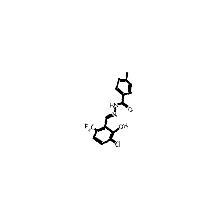 Cc1ccc(C(=O)N/N=C/c2c(C(F)(F)F)ccc(Cl)c2O)cc1